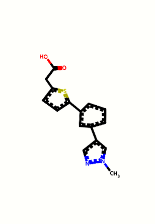 Cn1cc(-c2cccc(-c3ccc(CC(=O)O)s3)c2)cn1